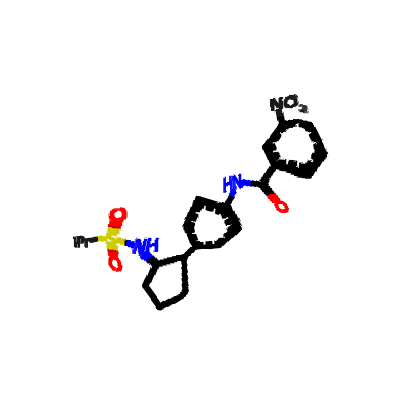 CC(C)S(=O)(=O)NC1CCCC1c1ccc(NC(=O)c2cccc([N+](=O)[O-])c2)cc1